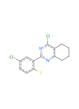 Fc1ccc(Cl)cc1-c1nc(Cl)c2c(n1)CCCC2